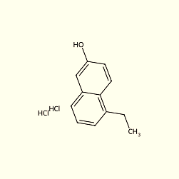 CCc1cccc2cc(O)ccc12.Cl.Cl